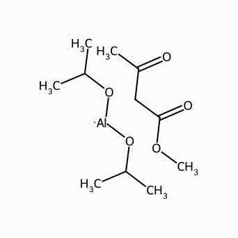 CC(C)[O][Al][O]C(C)C.COC(=O)CC(C)=O